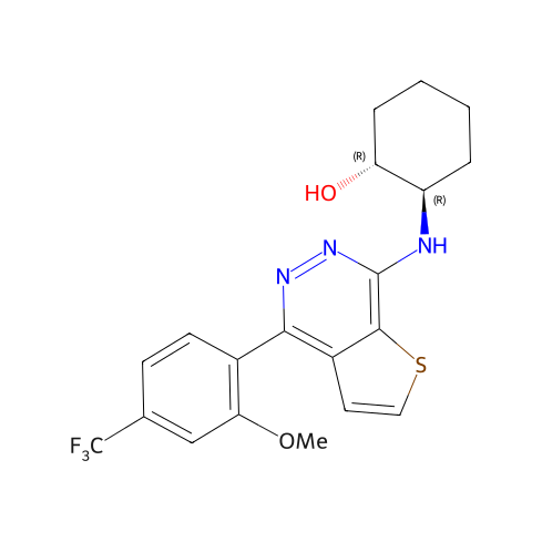 COc1cc(C(F)(F)F)ccc1-c1nnc(N[C@@H]2CCCC[C@H]2O)c2sccc12